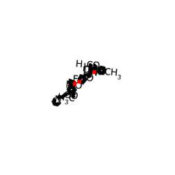 COc1cc2c(Oc3ccc(NC(=O)c4nn(-c5ccc(C)cc5)c(=O)n(C)c4=O)cc3F)ccnc2cc1OCCCN1CCCCC1